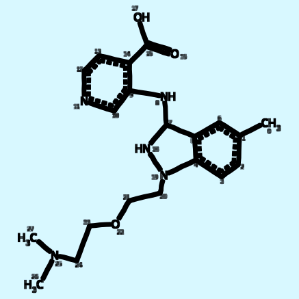 Cc1ccc2c(c1)C(Nc1cnccc1C(=O)O)NN2CCOCCN(C)C